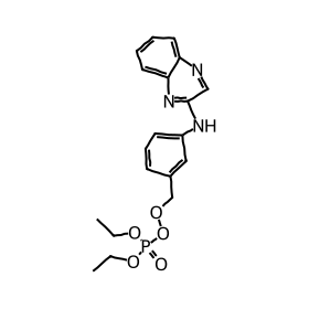 CCOP(=O)(OCC)OOCc1cccc(Nc2cnc3ccccc3n2)c1